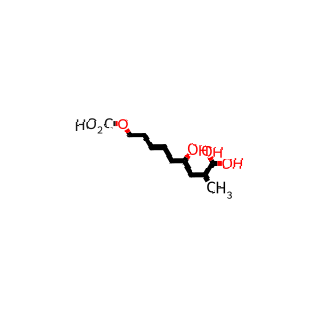 CC(CC(O)CCCCCOC(=O)O)C(O)O